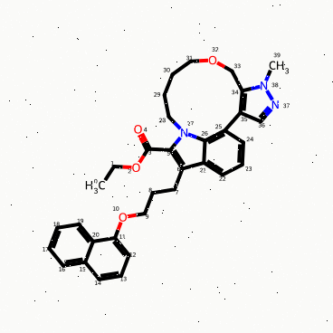 CCOC(=O)c1c(CCCOc2cccc3ccccc23)c2cccc3c2n1CCCCOCc1c-3cnn1C